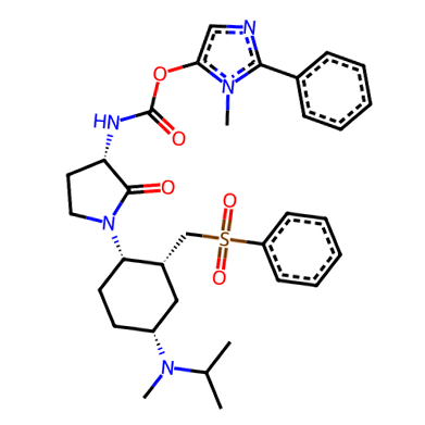 CC(C)N(C)[C@@H]1CC[C@H](N2CC[C@H](NC(=O)Oc3cnc(-c4ccccc4)n3C)C2=O)[C@H](CS(=O)(=O)c2ccccc2)C1